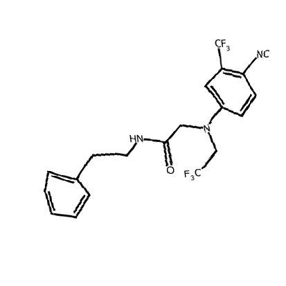 [C-]#[N+]c1ccc(N(CC(=O)NCCc2ccccc2)CC(F)(F)F)cc1C(F)(F)F